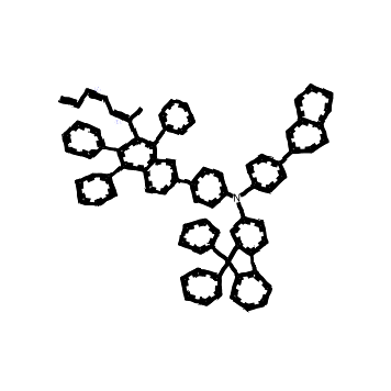 C=C/C=C\C=C(/C)c1c(-c2ccccc2)c(-c2ccccc2)c2ccc(-c3ccc(N(c4ccc(-c5ccc6ccccc6c5)cc4)c4ccc5c(c4)C(c4ccccc4)(c4ccccc4)c4ccccc4-5)cc3)cc2c1-c1ccccc1